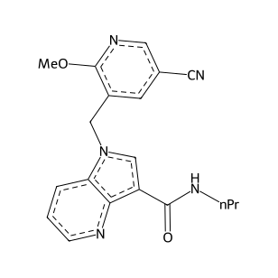 CCCNC(=O)c1cn(Cc2cc(C#N)cnc2OC)c2cccnc12